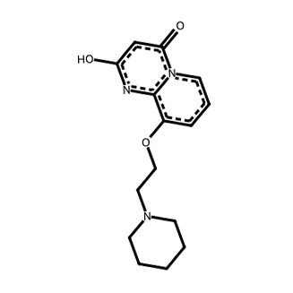 O=c1cc(O)nc2c(OCCN3CCCCC3)cccn12